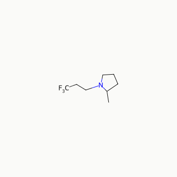 CC1CCCN1CCC(F)(F)F